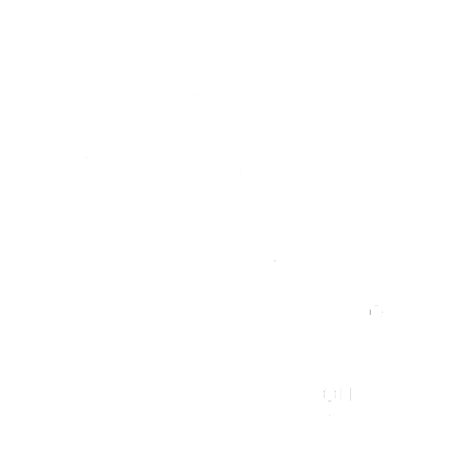 O=C(O)C=CCCc1ccccc1